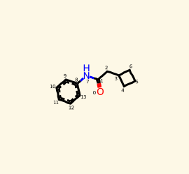 O=C(CC1CCC1)Nc1ccccc1